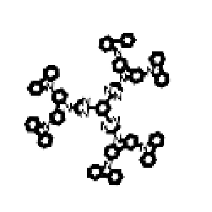 c1ccc2c(c1)c1ccccc1n2-c1ccc2c(c1)c1cc(-n3c4ccccc4c4ccccc43)ccc1n2-c1cnc(-c2cc(-c3ncc(-n4c5ccc(-n6c7ccccc7c7ccccc76)cc5c5cc(-n6c7ccccc7c7ccccc76)ccc54)cn3)cc(-c3ncc(-n4c5ccc(-n6c7ccccc7c7ccccc76)cc5c5cc(-n6c7ccccc7c7ccccc76)ccc54)cn3)c2)nc1